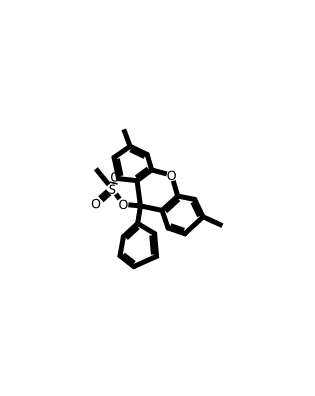 Cc1ccc2c(c1)Oc1cc(C)ccc1C2(OS(C)(=O)=O)c1ccccc1